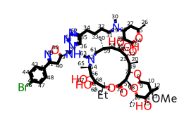 CC[C@H]1OC(=O)[C@H](C)[C@@H](O[C@H]2C[C@@](C)(OC)[C@@H](O)[C@H](C)O2)[C@H](C)[C@@H](O[C@@H]2O[C@H](C)C[C@H](N(C)CCCCc3cn(N[C@H]4CC(c5ccc(Br)cc5)=NO4)nn3)[C@H]2O)[C@](C)(O)C[C@@H](C)CN(C)[C@H](C)[C@@H](O)[C@]1(C)O